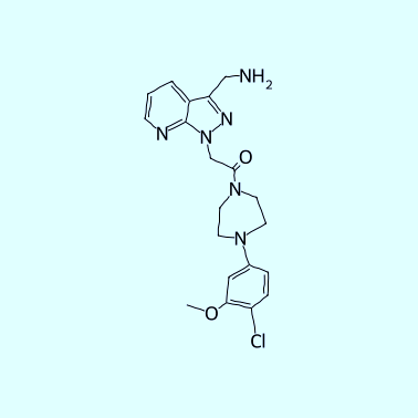 COc1cc(N2CCN(C(=O)Cn3nc(CN)c4cccnc43)CC2)ccc1Cl